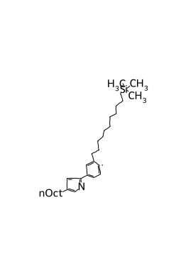 CCCCCCCCc1ccc(-c2cc[c]c(CCCCCCCCCCC[Si](C)(C)C)c2)nc1